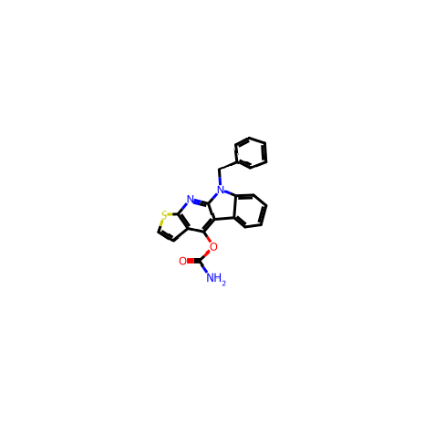 NC(=O)Oc1c2ccsc2nc2c1c1ccccc1n2Cc1ccccc1